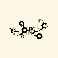 Cc1csc(CN(C)C(=O)c2cc(C(=O)N[C@@H](Cc3ccccc3)[C@H](O)CNCc3cncc(C(C)C)c3)cc(N3CCCC3)c2)n1